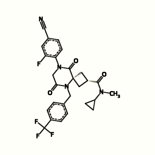 CN(C(=O)[C@H]1C[C@@]2(C1)C(=O)N(c1ccc(C#N)cc1F)CC(=O)N2Cc1ccc(C(F)(F)F)cc1)C1CC1